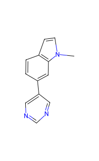 Cn1ccc2ccc(-c3cncnc3)cc21